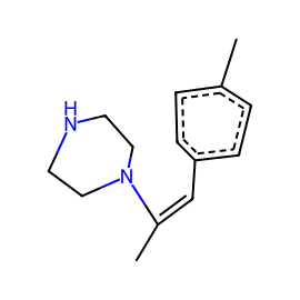 CC(=Cc1ccc(C)cc1)N1CCNCC1